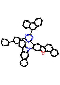 c1ccc(-c2ccc(-c3nc(-c4cc5c(cc4-n4c6ccccc6c6cc7ccccc7cc64)oc4c6ccccc6ccc54)nc(-c4cc5ccccc5c5ccccc45)n3)cc2)cc1